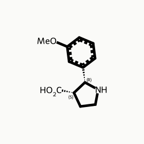 COc1cccc([C@@H]2NCC[C@@H]2C(=O)O)c1